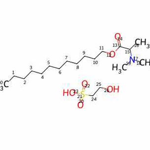 CCCCCCCCCCCCOC(=O)C(C)N(C)C.O=S(=O)(O)CCO